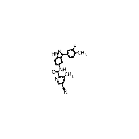 Cc1ccc(-c2n[nH]c3ccc(NC(=O)c4ncc(C#N)cc4C)cc23)cc1F